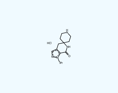 CC(C)n1ncc2c1C(=O)NC1(CCNCC1)C2.Cl